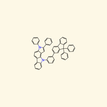 c1ccc(-c2cc3c(ccc4c5ccccc5n(-c5cccc(-c6ccc7c(c6)C(c6ccccc6)(c6ccccc6)c6ccccc6-7)c5)c43)n2-c2ccccc2)cc1